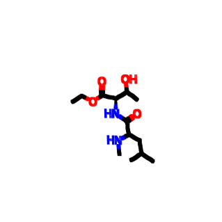 CCOC(=O)[C@H](NC(=O)C(CC(C)C)NC)C(C)O